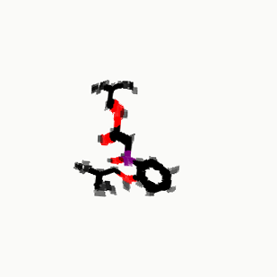 CC(C)COC(=O)C[PH](=O)c1ccccc1OCC(C)C